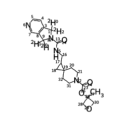 [2H]C1([2H])c2ccncc2C([2H])([2H])N1C(=O)NCC1CC12CCN(C(=O)OC1(C)COC1)CC2